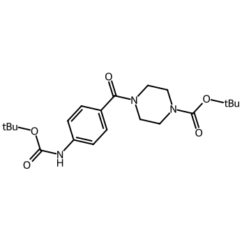 CC(C)(C)OC(=O)Nc1ccc(C(=O)N2CCN(C(=O)OC(C)(C)C)CC2)cc1